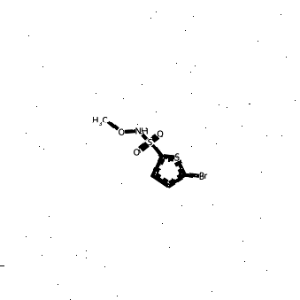 CONS(=O)(=O)c1ccc(Br)s1